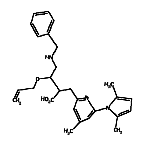 C=CCOC(CNCc1ccccc1)C(Cc1cc(C)cc(-n2c(C)ccc2C)n1)C(=O)O